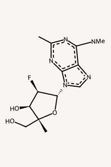 CNc1nc(C)nc2c1ncn2[C@@H]1O[C@](C)(CO)[C@@H](O)[C@H]1F